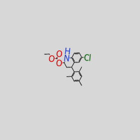 CCOC(=O)OC1CC(c2c(C)cc(C)cc2C)c2cc(Cl)ccc2N1